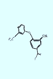 N#Cc1cc(C(F)F)ccc1Oc1cccc(C(F)(F)F)c1